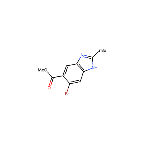 CCCCc1nc2cc(C(=O)OC)c(Br)cc2[nH]1